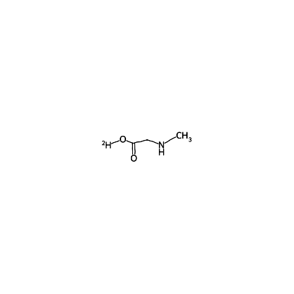 [2H]OC(=O)CNC